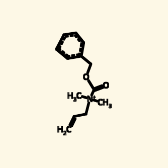 C=CC[N+](C)(C)C(=O)OCc1ccccc1